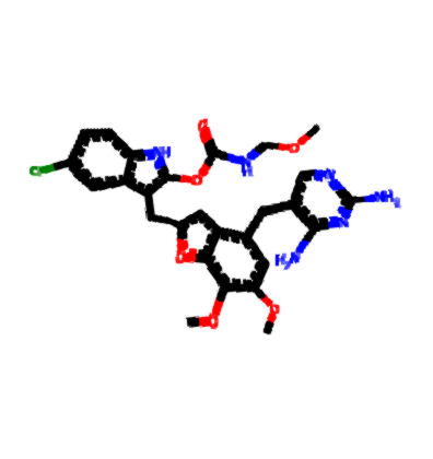 COCNC(=O)Oc1[nH]c2ccc(Cl)cc2c1Cc1cc2c(Cc3cnc(N)nc3N)cc(OC)c(OC)c2o1